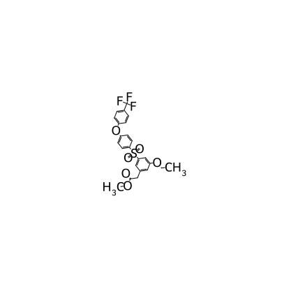 CCOc1cc(CC(=O)OC)cc(S(=O)(=O)c2ccc(Oc3ccc(C(F)(F)F)cc3)cc2)c1